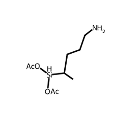 CC(=O)O[SiH](OC(C)=O)C(C)CCCN